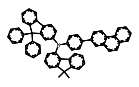 CC1(C)c2ccccc2-c2c(N(c3ccc(-c4ccc5c(ccc6ccccc65)c4)cc3)c3ccc4c(c3)C(c3ccccc3)(c3ccccc3)c3ccccc3-4)cccc21